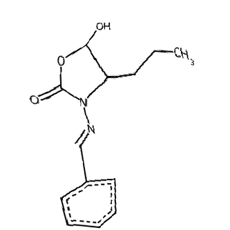 CCCC1C(O)OC(=O)N1N=Cc1ccccc1